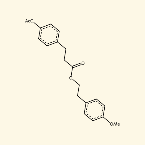 COc1ccc(CCOC(=O)CCc2ccc(OC(C)=O)cc2)cc1